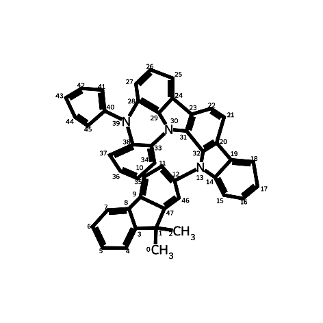 CC1(C)c2ccccc2-c2ccc(-n3c4ccccc4c4ccc5c6cccc7c6n(c5c43)-c3ccccc3N7c3ccccc3)cc21